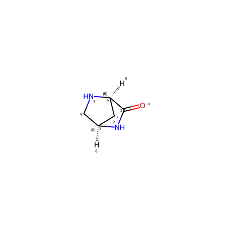 O=C1N[C@H]2CN[C@@H]1C2